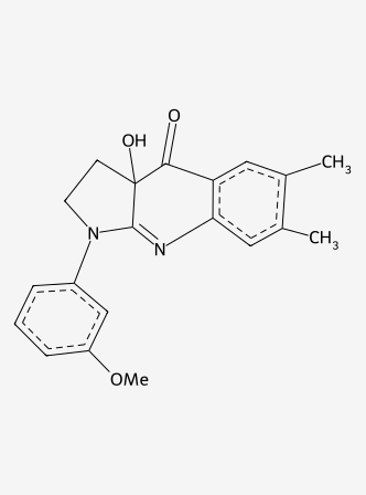 COc1cccc(N2CCC3(O)C(=O)c4cc(C)c(C)cc4N=C23)c1